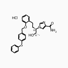 C[C@H](O)[C@@H](CCc1ccccc1OCc1ccc(Sc2ccccc2)cc1)n1cnc(C(N)=O)c1.Cl